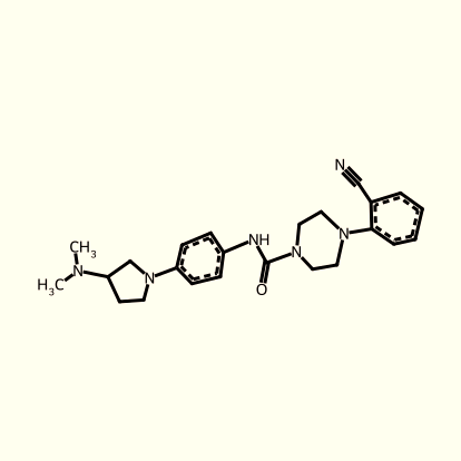 CN(C)C1CCN(c2ccc(NC(=O)N3CCN(c4ccccc4C#N)CC3)cc2)C1